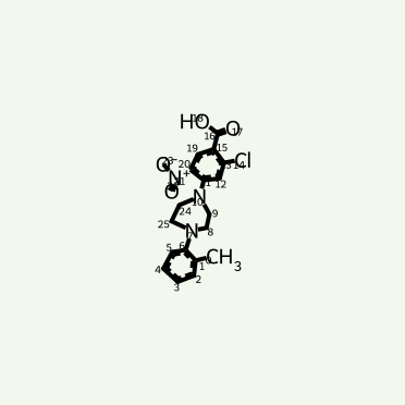 Cc1ccccc1N1CCN(c2cc(Cl)c(C(=O)O)cc2[N+](=O)[O-])CC1